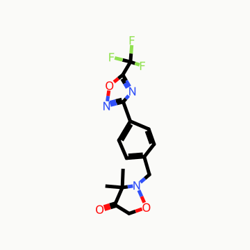 CC1(C)C(=O)CON1Cc1ccc(-c2noc(C(F)(F)F)n2)cc1